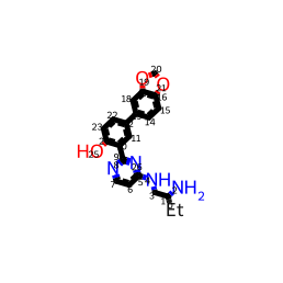 CCC(N)CNc1ccnc(-c2cc(-c3ccc4c(c3)OCO4)ccc2O)n1